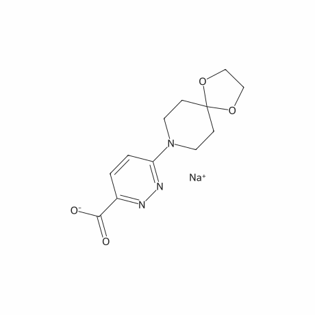 O=C([O-])c1ccc(N2CCC3(CC2)OCCO3)nn1.[Na+]